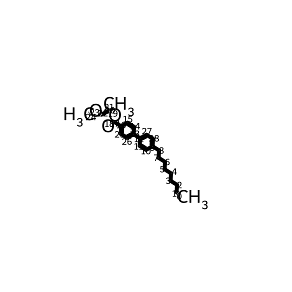 CCCCCCCCCc1ccc(-c2ccc(C(=O)OC(C)COC)cc2)cc1